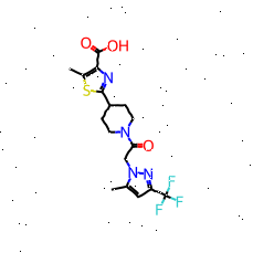 Cc1sc(C2CCN(C(=O)Cn3nc(C(F)(F)F)cc3C)CC2)nc1C(=O)O